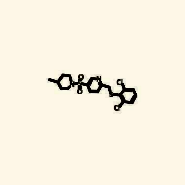 CC1CCN(S(=O)(=O)c2ccc(CSc3c(Cl)cccc3Cl)nc2)CC1